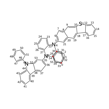 c1ccc(N(c2ccc3cc4sc5ccccc5c4cc3c2)c2ccccc2N(c2ccccc2)c2ccc3c4ccccc4n(-c4ccccc4)c3c2)cc1